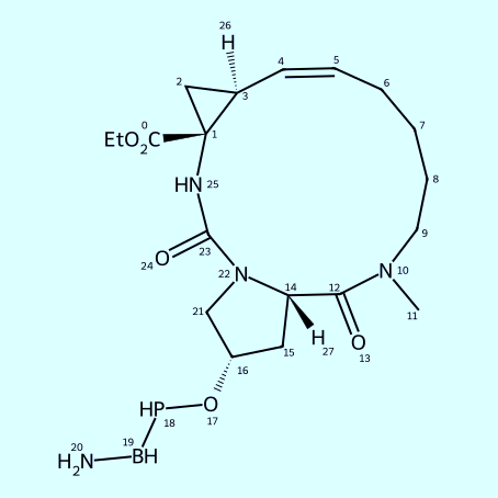 CCOC(=O)[C@@]12C[C@H]1/C=C\CCCCN(C)C(=O)[C@@H]1C[C@H](OPBN)CN1C(=O)N2